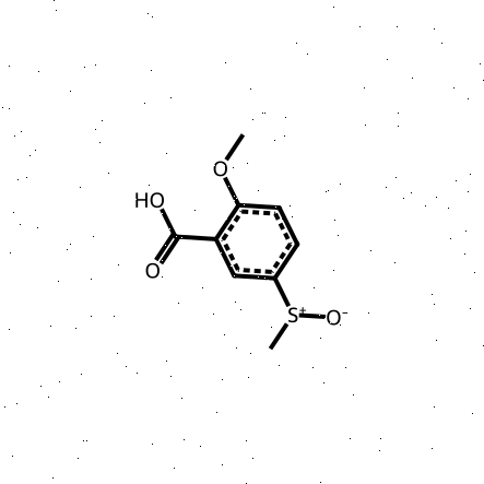 COc1ccc([S+](C)[O-])cc1C(=O)O